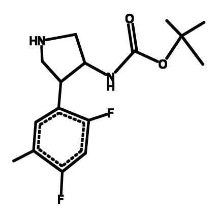 Cc1cc(C2CNCC2NC(=O)OC(C)(C)C)c(F)cc1F